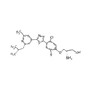 Cc1cc(-c2nnc(-c3cc(F)c(OC[C@@H](N)CO)cc3Cl)s2)cc(CC(C)C)n1